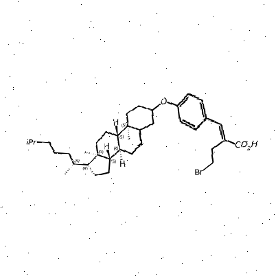 CC(C)CCC[C@@H](C)[C@H]1CC[C@H]2[C@@H]3CCC4CC(Oc5ccc(C=C(CCBr)C(=O)O)cc5)CC[C@]4(C)[C@H]3CC[C@]12C